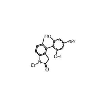 CCCc1cc(O)c(-c2c(C)ccc3c2CC(=O)N3CC)c(O)c1